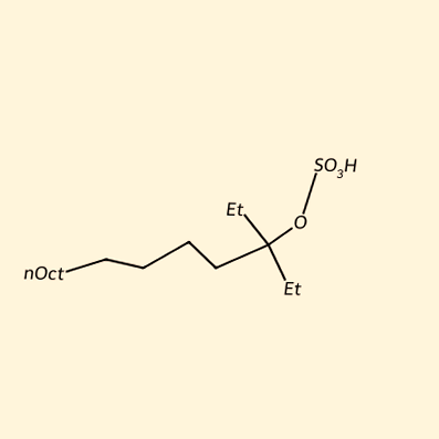 CCCCCCCCCCCCC(CC)(CC)OS(=O)(=O)O